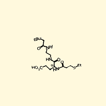 CCSCCC(=O)N[C@@H](CCC(=O)O)C(=O)NCCNC(=O)CC(C)(C)C